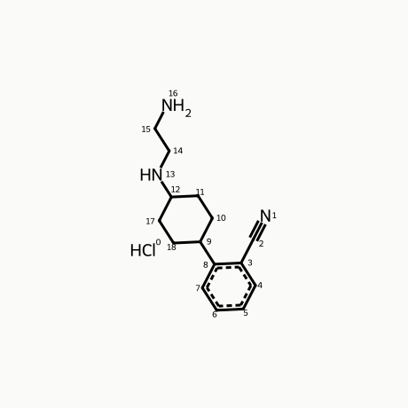 Cl.N#Cc1ccccc1C1CCC(NCCN)CC1